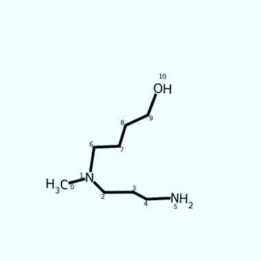 CN(CCCN)CCCCO